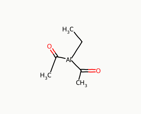 C[CH2][Al]([C](C)=O)[C](C)=O